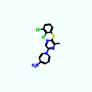 Cc1nc(N2C=CC=C(N)C=C2)cnc1Sc1cccc(Cl)c1Cl